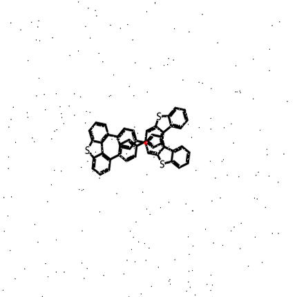 c1ccc2c(c1)sc1cc(-c3ccc(-c4cccc5sc6cccc(-c7ccc(-c8ccc9c(c8)sc8ccccc89)cc7)c6c45)cc3)ccc12